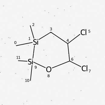 C[Si]1(C)CC(Cl)C(Cl)O[Si]1(C)C